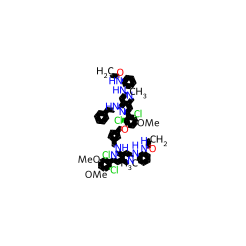 C=CC(=O)Nc1cccc(C)c1Nc1cc2c(NCC3CCC(COc4cc(OC)c(Cl)c(-c5cc6cnc(Nc7c(C)cccc7NC(=O)C=C)cc6c(NCCc6ccccc6)n5)c4Cl)C3)nc(-c3c(Cl)c(OC)cc(OC)c3Cl)cc2cn1